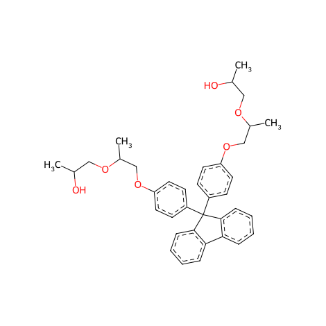 CC(O)COC(C)COc1ccc(C2(c3ccc(OCC(C)OCC(C)O)cc3)c3ccccc3-c3ccccc32)cc1